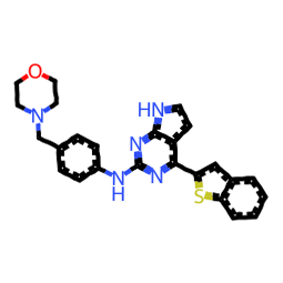 c1ccc2sc(-c3nc(Nc4ccc(CN5CCOCC5)cc4)nc4[nH]ccc34)cc2c1